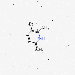 C=C1C=CC(CC)=C(C)N1